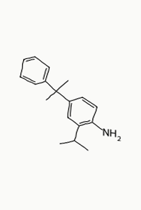 CC(C)c1cc(C(C)(C)c2ccccc2)ccc1N